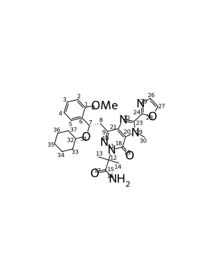 COc1ccccc1[C@H](Cc1nn(C(C)(C)C(N)=O)c(=O)c2c1nc(-c1ncco1)n2C)OC1CCCCC1